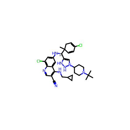 CC1([C@H](Nc2cc(Cl)c3ncc(C#N)c(NCC4CC4)c3c2)C2=CN(C3CCN(C(C)(C)C)CC3)NN2)C=CC(Cl)=CC1